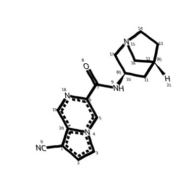 N#Cc1ccn2cc(C(=O)N[C@@H]3C[C@H]4CCN(C4)C3)ncc12